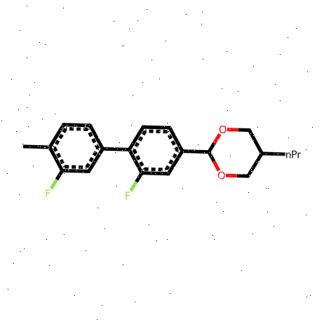 CCCC1COC(c2ccc(-c3ccc(C)c(F)c3)c(F)c2)OC1